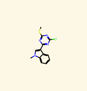 CSc1nc(Cl)nc(-c2cn(C)c3ccccc23)n1